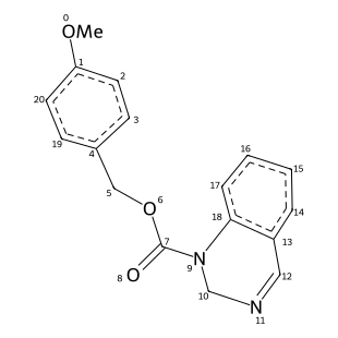 COc1ccc(COC(=O)N2CN=Cc3ccccc32)cc1